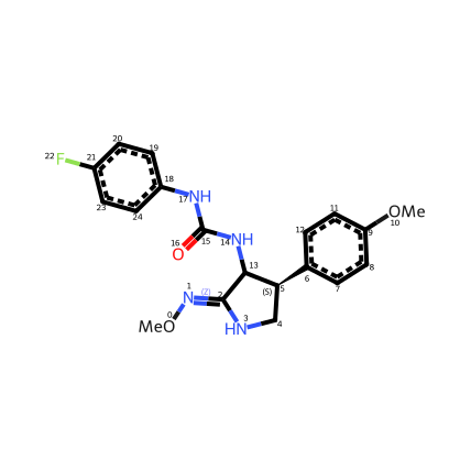 CO/N=C1\NC[C@H](c2ccc(OC)cc2)C1NC(=O)Nc1ccc(F)cc1